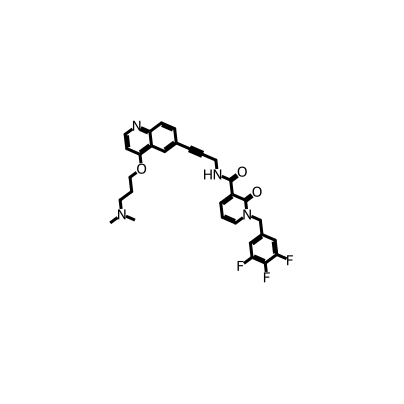 CN(C)CCCOc1ccnc2ccc(C#CCNC(=O)c3cccn(Cc4cc(F)c(F)c(F)c4)c3=O)cc12